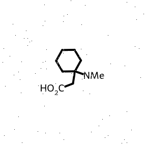 CNC1(CC(=O)O)CCCCC1